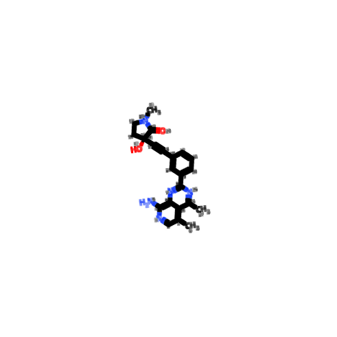 Cc1cnc(N)c2nc(-c3cccc(C#C[C@]4(O)CCN(C)C4=O)c3)nc(C)c12